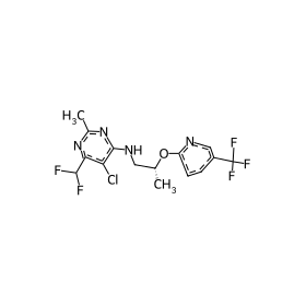 Cc1nc(NC[C@@H](C)Oc2ccc(C(F)(F)F)cn2)c(Cl)c(C(F)F)n1